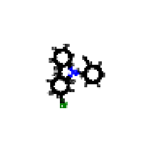 Cc1ccccc1-n1c2ccccc2c2ccc(Br)cc21